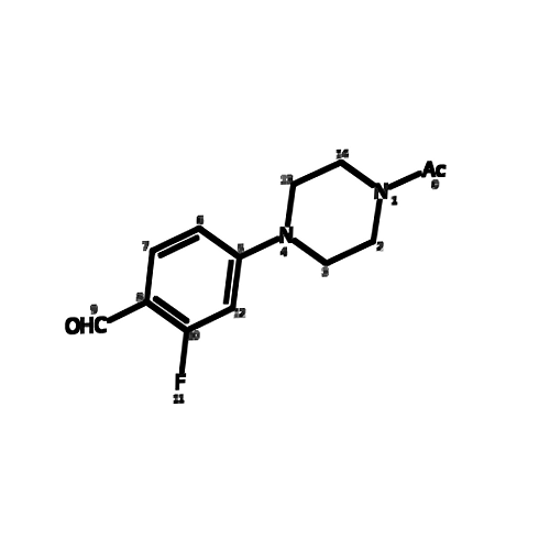 CC(=O)N1CCN(c2ccc(C=O)c(F)c2)CC1